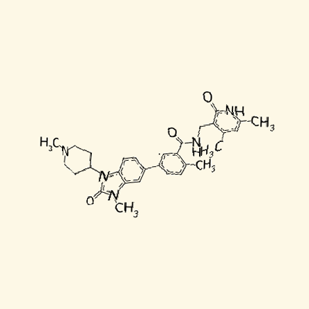 Cc1cc(C)c(CNC(=O)c2[c]c(-c3ccc4c(c3)n(C)c(=O)n4C3CCN(C)CC3)ccc2C)c(=O)[nH]1